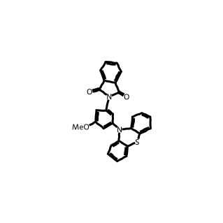 COc1cc(N2C(=O)c3ccccc3C2=O)cc(N2c3ccccc3Sc3ccccc32)c1